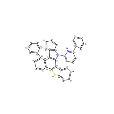 c1ccc(-c2cccc(-n3c4cccc5c4c4c6c(cccc6c6sc7ccccc7c6c43)-c3ccccc3-5)n2)cc1